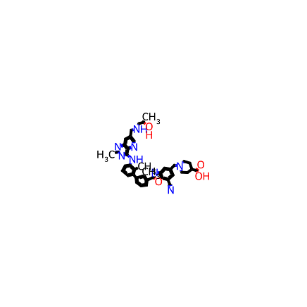 Cc1nc(Nc2cccc(-c3cccc(-c4nc5cc(CN6CCC(C(=O)O)CC6)cc(C#N)c5o4)c3C)c2C)c2ncc(CNCC(C)O)cc2n1